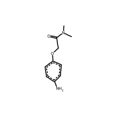 CN(C)C(=O)COc1ccc(N)cc1